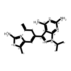 C=CC/C(=C\c1nc(N)oc1C)c1nn(C(C)C)c2nc(N)nc(N)c12